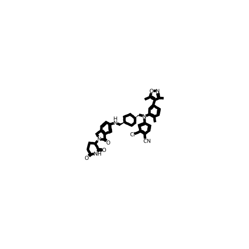 Cc1ccc(-c2c(C)noc2C)cc1N(C[C@H]1CC[C@H](CNc2ccc3c(c2)C(=O)N(C2CCC(=O)NC2=O)C3)CC1)c1ccc(C#N)c(Cl)c1